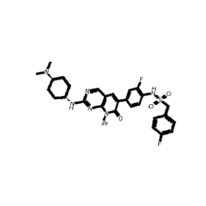 CC(C)n1c(=O)c(-c2ccc(NS(=O)(=O)Cc3ccc(F)cc3)c(F)c2)cc2cnc(N[C@H]3CC[C@H](N(C)C)CC3)nc21